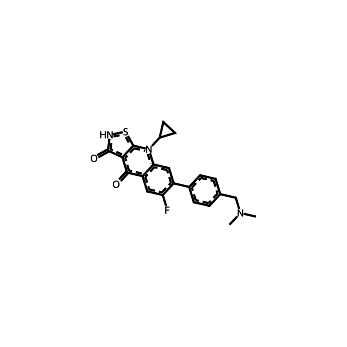 CN(C)Cc1ccc(-c2cc3c(cc2F)c(=O)c2c(=O)[nH]sc2n3C2CC2)cc1